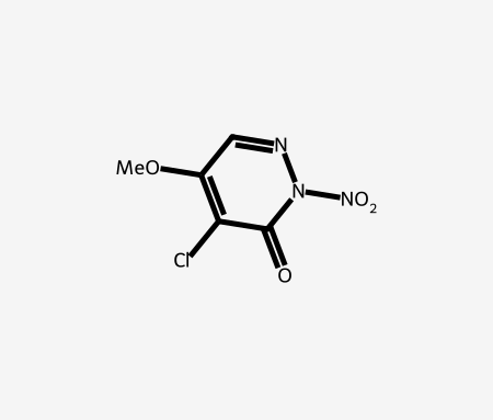 COc1cnn([N+](=O)[O-])c(=O)c1Cl